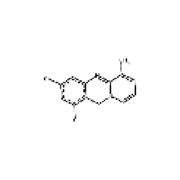 CC1=CC=CN2Cc3c(Cl)cc(Cl)cc3N=C12